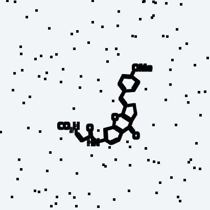 COc1ccc(C=C2CCc3c2oc2cc(NC(=O)/C=C\C(=O)O)ccc2c3=O)cc1